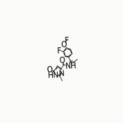 CC[C@@H](NC(=O)c1cc(=O)[nH]c(C)n1)c1ccc(OF)c(F)c1